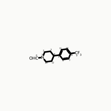 O=CN1CCC(c2ccc(C(F)(F)F)cc2)CC1